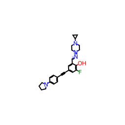 Oc1c(F)cc(C#Cc2ccc(N3CCCC3)cc2)cc1/C=N/N1CCN(C2CC2)CC1